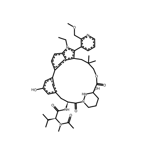 CCn1c(-c2cccnc2COC)c2c3cc(ccc31)-c1cc(O)cc(c1)C[C@H](NC(=O)[C@H](C(C)C)N(C)C(C)=O)C(=O)N1CCC[C@@](O)(N1)C(=O)OCC(C)(C)C2